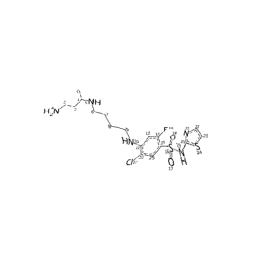 CC(CCN)NCCCCNc1cc(F)c(S(=O)(=O)Nc2nccs2)cc1Cl